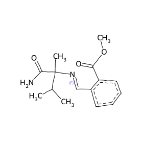 COC(=O)c1ccccc1/C=N/C(C)(C(N)=O)C(C)C